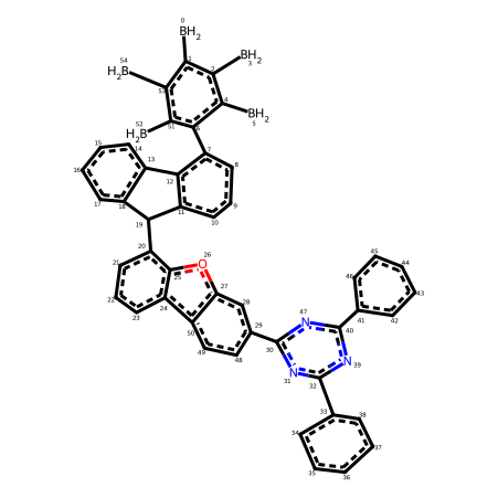 Bc1c(B)c(B)c(-c2cccc3c2-c2ccccc2C3c2cccc3c2oc2cc(-c4nc(-c5ccccc5)nc(-c5ccccc5)n4)ccc23)c(B)c1B